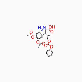 CC(=O)Oc1ccc(C(C(C)COC(=O)Oc2ccccc2)[C@H](N)C(=O)O)cc1OC(C)=O